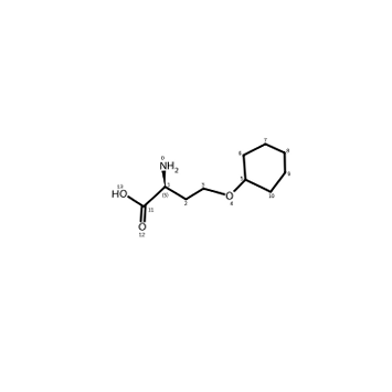 N[C@@H](CCOC1CCCCC1)C(=O)O